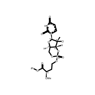 CO[C@H](CCO[P@@]1(=O)OC[C@H]2O[C@@H](n3ccc(=O)[nH]c3=O)[C@](C)(Cl)[C@@H]2O1)C(=O)OC(C)C